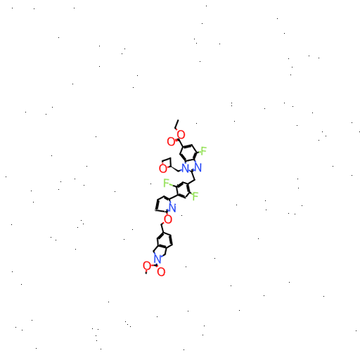 CCOC(=O)c1cc(F)c2nc(Cc3cc(F)c(-c4cccc(OCc5ccc6c(c5)CN(C(=O)OC)C6)n4)cc3F)n(C[C@@H]3CCO3)c2c1